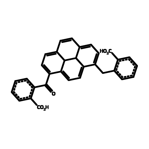 O=C(O)c1ccccc1CC1=CC=C2C=CC3=CC=C(C(=O)c4ccccc4C(=O)O)C4=CC=C1C2C34